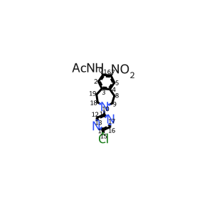 CC(=O)Nc1cc2c(cc1[N+](=O)[O-])CCN(c1cnc(Cl)cn1)CC2